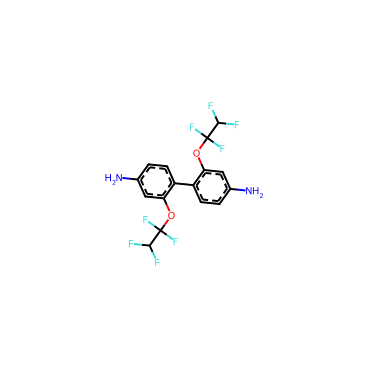 Nc1ccc(-c2ccc(N)cc2OC(F)(F)C(F)F)c(OC(F)(F)C(F)F)c1